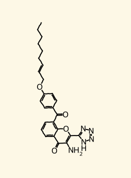 CCCCCC/C=C/COc1ccc(C(=O)c2cccc3c(=O)c(N)c(-c4nnn[nH]4)oc23)cc1